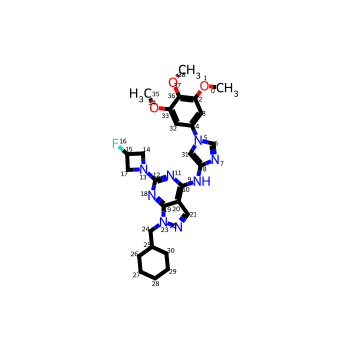 COc1cc(-n2cnc(Nc3nc(N4CC(F)C4)nc4c3cnn4CC3CCCCC3)c2)cc(OC)c1OC